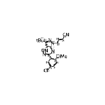 COc1ccc(Cl)cc1C(=NC#N)N=c1sc(C(C)(C)C)nn1CCCC#N